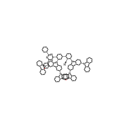 N#Cc1c(-c2ccc(-c3nc(-c4ccccc4)nc(-c4ccccc4)n3)c(-n3c4ccc(-n5c6ccccc6c6ccccc65)cc4c4cc(-n5c6ccccc6c6ccccc65)ccc43)c2)cccc1-n1c2ccc(-n3c4ccccc4c4ccccc43)cc2c2cc(-n3c4ccccc4c4ccccc43)ccc21